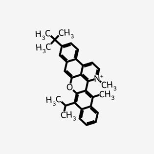 Cc1c2c(c(C(C)C)c3ccccc13)Oc1cc3cc(C(C)(C)C)ccc3c3cc[n+](C)c-2c13